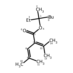 CCC(C)C(C)(CC)OC(=O)C(C=C(C)C)=C(C)C